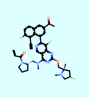 C#Cc1c(F)ccc2cc(C(C)=O)cc(-c3ncc4c(N(C)C[C@@H]5CCCN5C(=O)C=C)nc(OC[C@]5(C)C[C@@H](F)CN5C)nc4c3F)c12